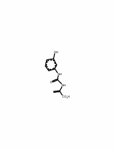 C=C(NC(=O)Nc1cccc(O)c1)C(=O)O